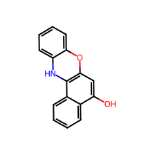 Oc1cc2c(c3ccccc13)Nc1ccccc1O2